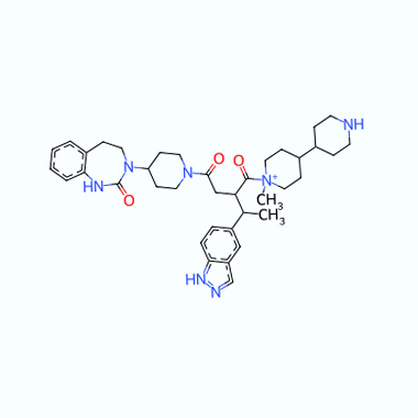 CC(c1ccc2[nH]ncc2c1)C(CC(=O)N1CCC(N2CCc3ccccc3NC2=O)CC1)C(=O)[N+]1(C)CCC(C2CCNCC2)CC1